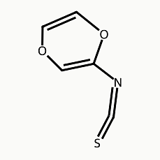 S=C=NC1=COC=CO1